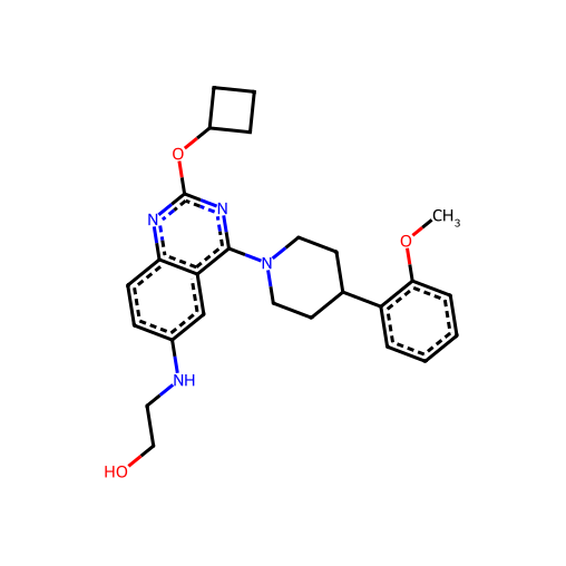 COc1ccccc1C1CCN(c2nc(OC3CCC3)nc3ccc(NCCO)cc23)CC1